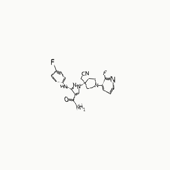 N#CCC1(n2cc(C(N)=O)c(Nc3ccc(F)cc3)n2)CCN(c2cccnc2F)CC1